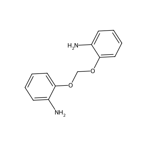 Nc1ccccc1OCOc1ccccc1N